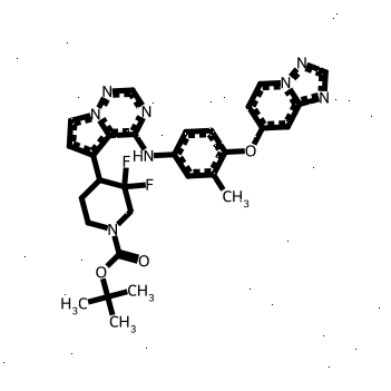 Cc1cc(Nc2ncnn3ccc(C4CCN(C(=O)OC(C)(C)C)CC4(F)F)c23)ccc1Oc1ccn2ncnc2c1